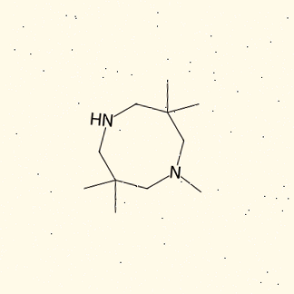 CN1CC(C)(C)CNCC(C)(C)C1